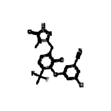 Cn1c(Cn2ccc(C(C)(F)F)c(Oc3cc(Cl)cc(C#N)c3)c2=O)n[nH]c1=O